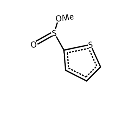 COS(=O)c1cccs1